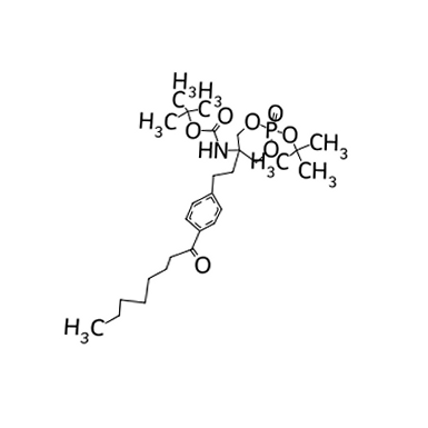 CCCCCCCC(=O)c1ccc(CCC2(NC(=O)OC(C)(C)C)COP(=O)(OC(C)(C)C)OC2)cc1